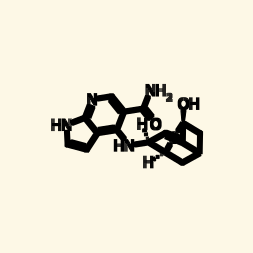 NC(=O)c1cnc2[nH]ccc2c1N[C@H]1C=C2C3C[C@@H]1C[C@]2(O)C3